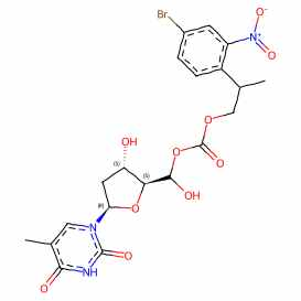 Cc1cn([C@H]2C[C@H](O)[C@@H](C(O)OC(=O)OCC(C)c3ccc(Br)cc3[N+](=O)[O-])O2)c(=O)[nH]c1=O